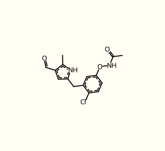 CC(=O)NOc1ccc(Cl)c(Cc2cc(C=O)c(C)[nH]2)c1